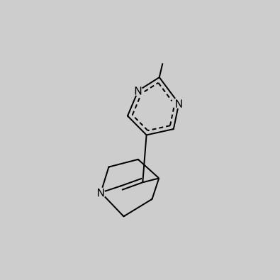 Cc1ncc(C2=CN3CCC2CC3)cn1